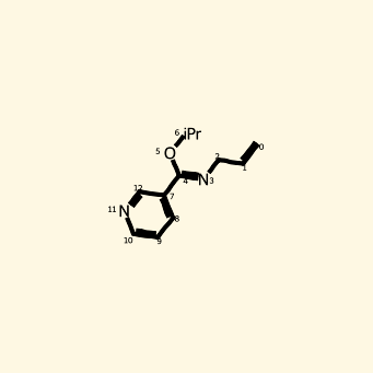 C=CC/N=C(\OC(C)C)c1cccnc1